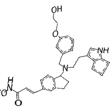 O=C(C=Cc1ccc2c(c1)CCC2N(CCc1c[nH]c2ccccc12)Cc1cccc(OCCO)c1)NO